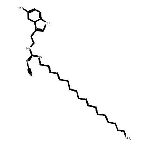 CCCCCCCCCCCCCCCCCCCN/C(=N\C#N)NCCC1=CNC2=CC=C(O)CC12